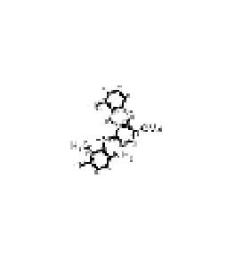 COc1cnc(Nc2c(C)ccc(Cl)c2C)n(Cc2ccccc2Cl)c1=O